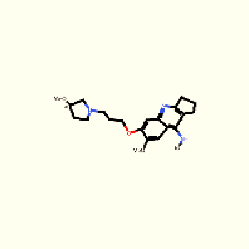 CCNc1c2c(nc3cc(OCCCN4CC[C@@H](OC)C4)c(OC)cc13)CCC2